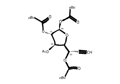 C#C[C@H](OC(=O)CCCC)C1O[C@H](OC(=O)CCCC)[C@@H](OC(=O)CCCC)[C@@H]1OC(C)=O